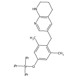 Cc1cc(O[Si](C(C)C)(C(C)C)C(C)C)cc(C)c1Cc1cnc2c(c1)CCCN2